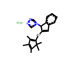 CC1=C(C)C(C)(C)[C]([Zr+2][C]2=Cc3ccccc3C2n2cnnc2)=C1C.[Cl-].[Cl-]